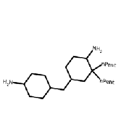 CCCCCC1(CCCCC)CC(CC2CCC(N)CC2)CCC1N